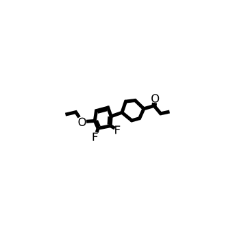 CCOc1ccc(C2CCC(C(=O)CC)CC2)c(F)c1F